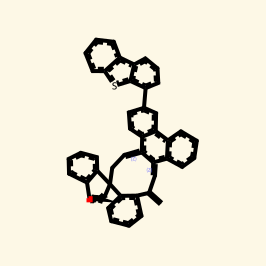 C=C1/C=c2\c(c3ccc(-c4cccc5c4sc4ccccc45)cc3c3ccccc23)=C/CC2(c3ccccc31)c1ccccc1-c1ccccc12